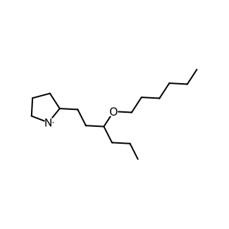 CCCCCCOC(CCC)CCC1CCC[N]1